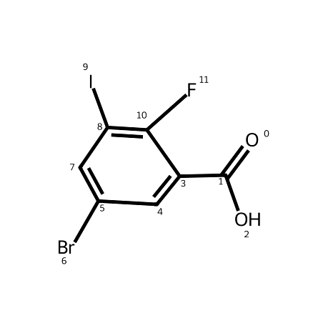 O=C(O)c1cc(Br)cc(I)c1F